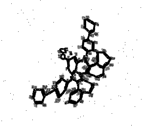 FC(F)(F)Oc1cc2c3c(c1)N(c1ccc(-c4ccccc4)cc1)c1c(ccc4ccccc14)B3c1ccc3ccccc3c1N2c1ccc(-c2ccccc2)cc1